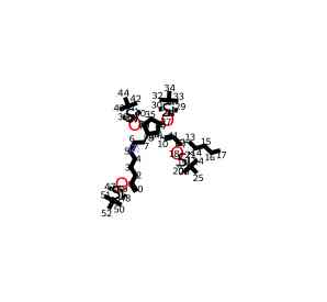 C=C(CCC/C=C\C[C@@H]1[C@@H](C=C[C@H](CCCCC)O[Si](C)(C)C(C)(C)C)[C@H](O[Si](C)(C)C(C)(C)C)C[C@@H]1O[Si](C)(C)C(C)(C)C)O[Si](C)(C)C(C)(C)C